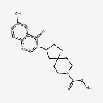 CC(C)(C)OC(=O)N1CCC2(CC1)CC(n1cnc3ccc(O)cc3c1=O)CO2